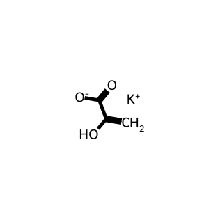 C=C(O)C(=O)[O-].[K+]